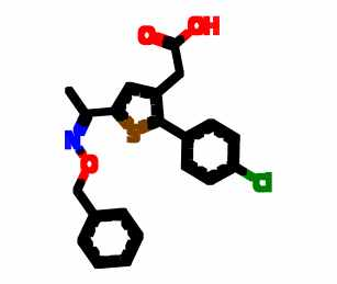 CC(=NOCc1ccccc1)c1cc(CC(=O)O)c(-c2ccc(Cl)cc2)s1